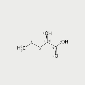 CCC[C@@H](O)C(=O)O